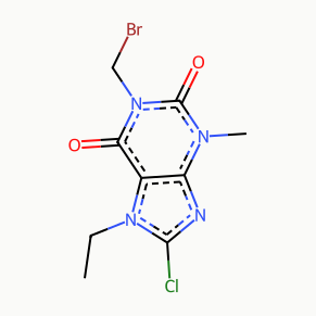 CCn1c(Cl)nc2c1c(=O)n(CBr)c(=O)n2C